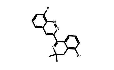 CC1(C)Cc2c(Br)cccc2C(c2cc3cccc(F)c3nn2)=N1